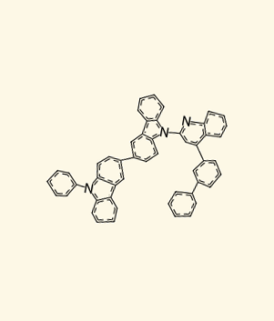 c1ccc(-c2cccc(-c3cc(-n4c5ccccc5c5cc(-c6ccc7c(c6)c6ccccc6n7-c6ccccc6)ccc54)nc4ccccc34)c2)cc1